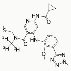 [2H]C([2H])([2H])N(CSC)C(=O)c1cnc(NC(=O)C2CC2)cc1Nc1cccc(-c2nnn(C)n2)c1OC